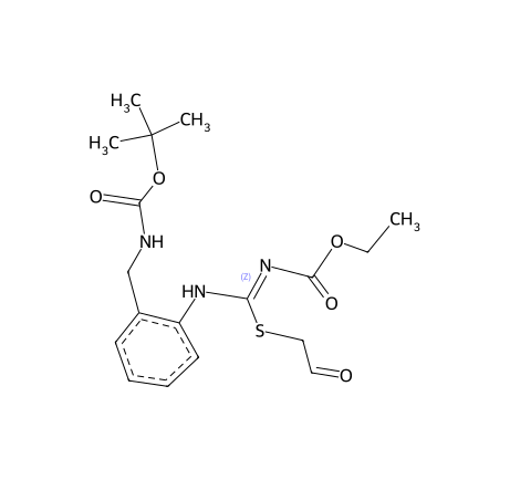 CCOC(=O)/N=C(/Nc1ccccc1CNC(=O)OC(C)(C)C)SCC=O